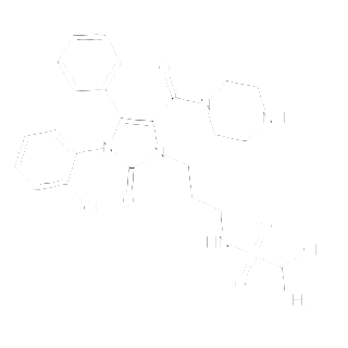 Cc1ccccc1-n1c(-c2ccccc2)c(C(=O)N2CCNCC2)n(CCCNS(=O)(=O)C(C)C)c1=O